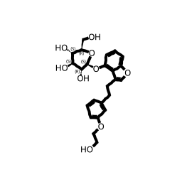 OCCOc1cccc(CCc2coc3cccc(O[C@@H]4O[C@H](CO)[C@@H](O)[C@H](O)[C@H]4O)c23)c1